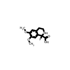 COc1cc2c(cc1OC)C(F)(C(=O)O)NCC2